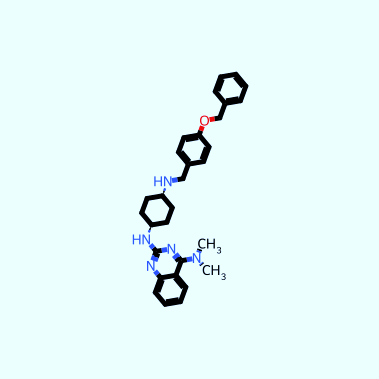 CN(C)c1nc(N[C@H]2CC[C@@H](NCc3ccc(OCc4ccccc4)cc3)CC2)nc2ccccc12